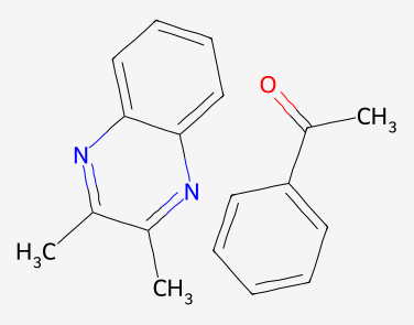 CC(=O)c1ccccc1.Cc1nc2ccccc2nc1C